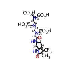 Cc1c(C(F)(F)F)c2ccc(NC(=O)CN(CCN(CCN(CC(=O)O)CC(=O)O)CC(=O)O)CC(=O)O)cc2[nH]c1=O